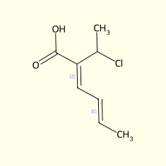 C/C=C/C=C(/C(=O)O)C(C)Cl